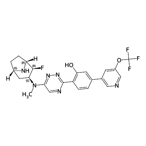 CN(c1cnc(-c2ccc(-c3cncc(OC(F)(F)F)c3)cc2O)nn1)[C@H]1C[C@@H]2CC[C@@H](N2)[C@H]1F